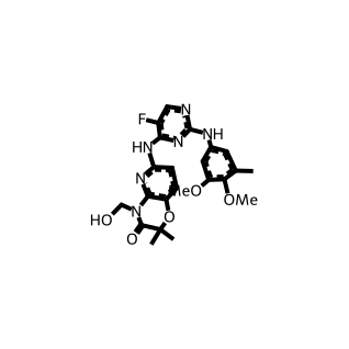 COc1cc(Nc2ncc(F)c(Nc3ccc4c(n3)N(CO)C(=O)C(C)(C)O4)n2)cc(C)c1OC